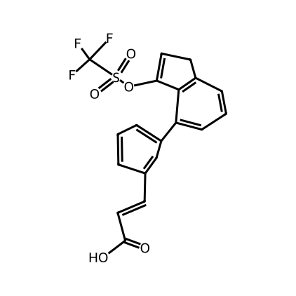 O=C(O)/C=C/c1cccc(-c2cccc3c2C(OS(=O)(=O)C(F)(F)F)=CC3)c1